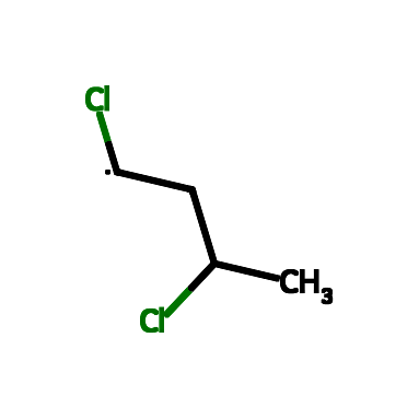 CC(Cl)C[CH]Cl